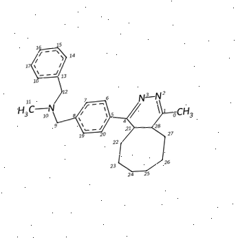 CC1=NN=C(c2ccc(CN(C)Cc3ccccc3)cc2)C2CCCCCCC12